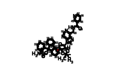 CC1(C)O[C@@H]2[C@H](O1)[C@@H](Cc1ccccc1C(OS(N)(=O)=O)(c1ccccc1)c1ccccc1)O[C@H]2n1cnc2c(CNC(=O)c3cccnc3)ncnc21